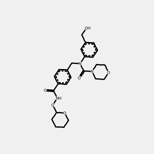 O=C(NOC1CCCCO1)c1ccc(CN(C(=O)N2CCOCC2)c2cccc(CO)c2)cc1